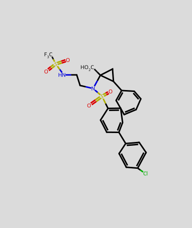 O=C(O)C1(N(CCNS(=O)(=O)C(F)(F)F)S(=O)(=O)c2ccc(-c3ccc(Cl)cc3)cc2)CC1c1ccccc1